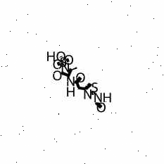 C[C@H]1[C@H](NC(=O)Cc2csc(NC=O)n2)C(=O)N1S(=O)(=O)O